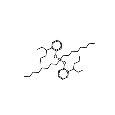 CCCCCCC[CH2][Sn]([CH2]CCCCCCC)([O]c1ccccc1C(CC)CCC)[O]c1ccccc1C(CC)CCC